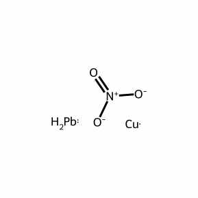 O=[N+]([O-])[O-].[Cu].[PbH2]